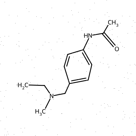 [CH2]CN(C)Cc1ccc(NC(C)=O)cc1